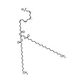 CC/C=C\C/C=C\C/C=C\C/C=C\CCCCC(=O)O[C@H](COC(=O)CCCCCCCCCCCCCCC)COC(=O)CCCCCCCCCCCCCCCCCCC